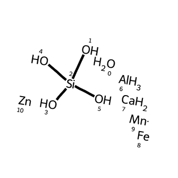 O.O[Si](O)(O)O.[AlH3].[CaH2].[Fe].[Mn].[Zn]